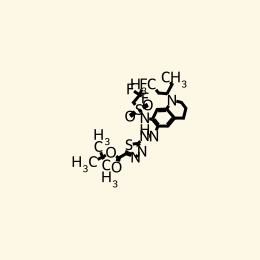 CCC(CC)N1CCCc2cc(N=Nc3nnc(C(=O)OC(C)(C)C)s3)c(NS(=O)(=O)CC(F)(F)F)cc21